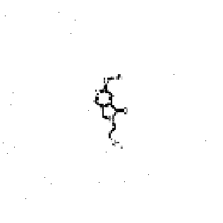 CCCOc1cc2c(cn1)CN(CCN)C2=O